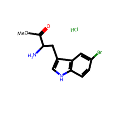 COC(=O)C(N)Cc1c[nH]c2ccc(Br)cc12.Cl